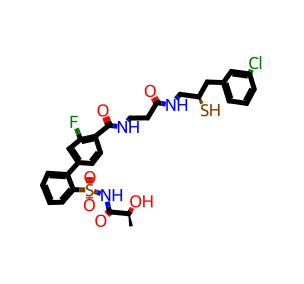 C[C@H](O)C(=O)NS(=O)(=O)c1ccccc1-c1ccc(C(=O)NCCC(=O)NC[C@H](S)Cc2cccc(Cl)c2)c(F)c1